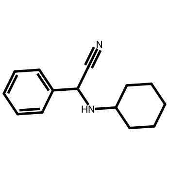 N#CC(NC1CCCCC1)c1ccccc1